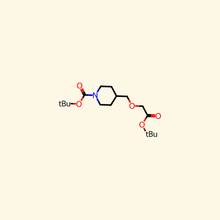 CC(C)(C)OC(=O)COCC1CCN(C(=O)OC(C)(C)C)CC1